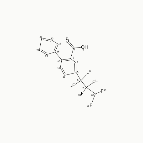 O=C(O)c1cc(C(F)(F)C(F)(F)C(F)F)ccc1-c1ccccc1